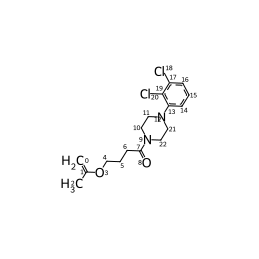 C=C(C)OCCCC(=O)N1CCN(c2cccc(Cl)c2Cl)CC1